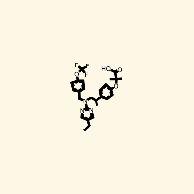 CCc1cnc(N(Cc2ccc(OC(F)(F)F)cc2)CC(C)c2ccc(OC(C)(C)C(=O)O)cc2)nc1